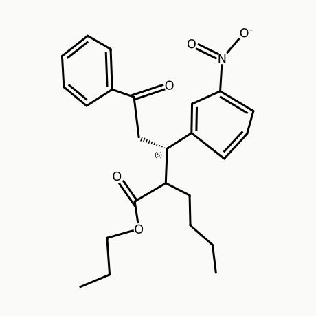 CCCCC(C(=O)OCCC)[C@H](CC(=O)c1ccccc1)c1cccc([N+](=O)[O-])c1